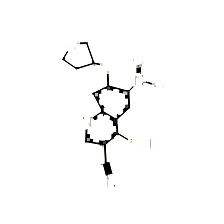 N#Cc1cnc2cc(OC3CCOC3)c([N+](=O)[O-])cc2c1O